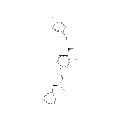 Cc1ccc(COC(=O)c2cc(C)c(/N=C/N(C)Cc3ccccc3)cc2C)cc1